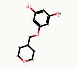 Oc1cc(O)cc(OCC2CCOCC2)c1